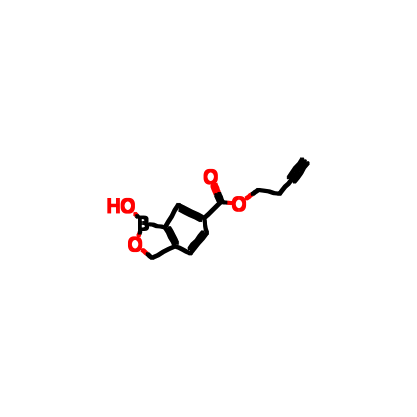 C#CCCOC(=O)c1ccc2c(c1)B(O)OC2